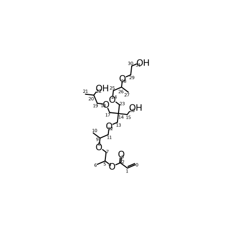 C=CC(=O)OC(C)COC(C)COCC(CO)(COCC(C)O)COCC(C)OCCO